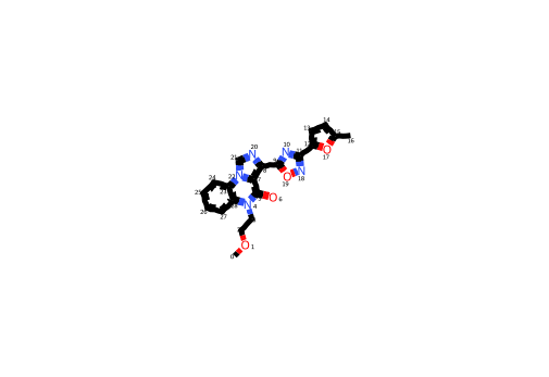 COCCn1c(=O)c2c(-c3nc(-c4ccc(C)o4)no3)ncn2c2ccccc21